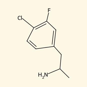 CC(N)Cc1ccc(Cl)c(F)c1